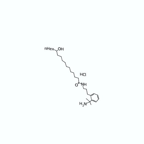 CCCCCCC(O)CCCCCCCCCCC(=O)NCCCc1ccccc1C(C)(C)N.Cl